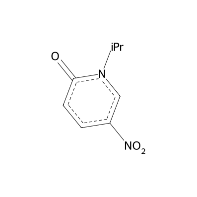 CC(C)n1cc([N+](=O)[O-])ccc1=O